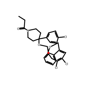 CCC(=O)N1CCC(OCc2ccccc2/C2=C\C(Cl)=C(\Cl)CCOC2)(c2ccc(Cl)cc2)CC1